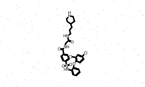 O=C(CNC(=O)c1ccc(S(=O)(=O)Nc2ccccc2Oc2ccc(Cl)cc2Cl)cc1)NCCCC1CCNCC1